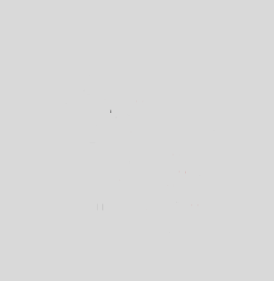 CCOC(=O)[C@H](C)OC(=O)[C@H](C)OC(=O)[C@H](C)OC(=O)[C@H](C)OC(=O)[C@H](C)OC(=O)[C@H](C)O[Si](c1ccccc1)(c1ccccc1)C(C)(C)C